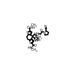 CNC(=O)c1cc2c(s1)CCc1sc(C(=O)NC)cc1C2(C[C@@H](C)NCC(=O)N1CCCC1C#N)c1nn[nH]n1